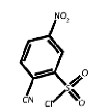 N#Cc1ccc([N+](=O)[O-])cc1S(=O)(=O)Cl